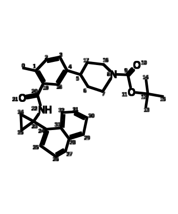 Cc1ccc(C2CCN(C(=O)OC(C)(C)C)CC2)cc1C(=O)NC1(c2cccc3ccccc23)CC1